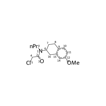 CCCN(C(=O)CCl)C1CCc2ccc(OC)cc2C1